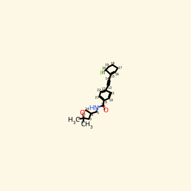 CC1(C)CC(CNC(=O)c2ccc(C#CC3=CCCCC3F)cc2)CO1